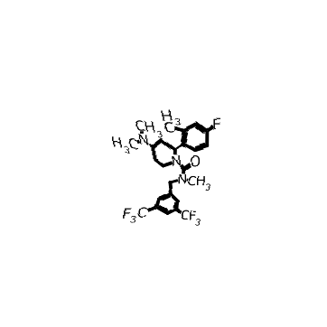 Cc1cc(F)ccc1[C@@H]1C[C@@H](N(C)C)CCN1C(=O)N(C)Cc1cc(C(F)(F)F)cc(C(F)(F)F)c1